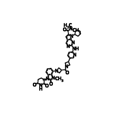 CN(C)C(=O)c1cc2cnc(Nc3ccc(C4CN(C(=O)C5CN(c6cccc7c6n(C)c(=O)n7[C@@H]6CCC(=O)NC6=O)C5)C4)cn3)nc2n1C1CCCC1